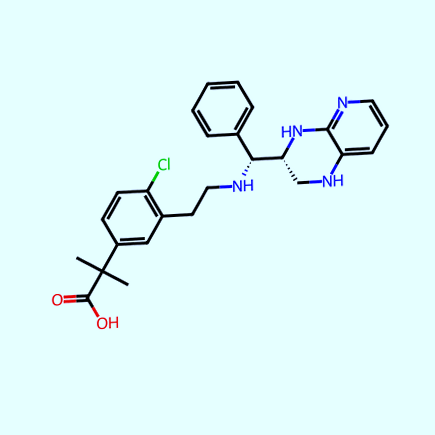 CC(C)(C(=O)O)c1ccc(Cl)c(CCN[C@H](c2ccccc2)[C@H]2CNc3cccnc3N2)c1